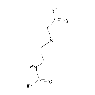 CC(C)C(=O)CSCCNC(=O)C(C)C